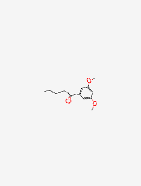 CCCCC(=O)c1cc(OC)cc(OC)c1